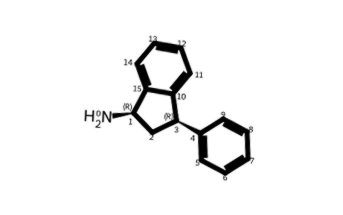 N[C@@H]1C[C@H](c2ccccc2)c2ccccc21